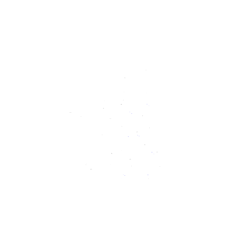 C#Cc1cccc2nc(Cn3nc(-c4ccc(O)cc4)c4c(N)ncnc43)n(Cc3ccc(Cl)cc3)c(=O)c12